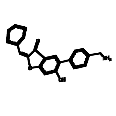 NCc1ccc(-c2cc3c(cc2O)OC(=Cc2ccccc2)C3=O)cc1